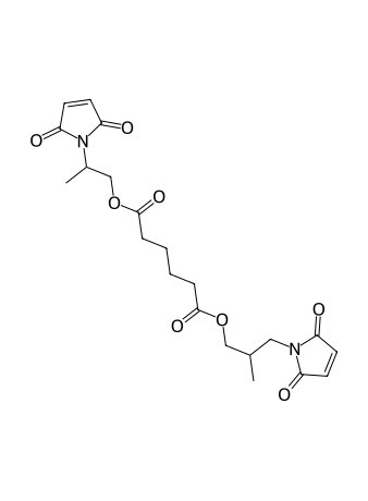 CC(COC(=O)CCCCC(=O)OCC(C)N1C(=O)C=CC1=O)CN1C(=O)C=CC1=O